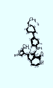 CCN1CCC(c2ccc(Nc3nc(-c4c[nH]nc4C)cc4cc[nH]c(=O)c34)cc2)CC1